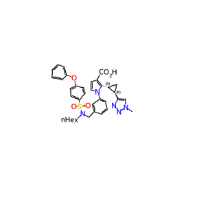 CCCCCCN(Cc1cccc(-n2ccc(C(=O)O)c2[C@@H]2C[C@H]2c2cn(C)nn2)c1)S(=O)(=O)c1ccc(Oc2ccccc2)cc1